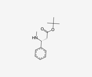 CN[C@H](CC(=O)OC(C)(C)C)c1ccccc1